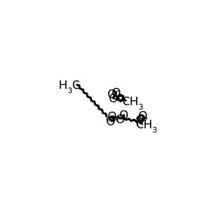 CCCCCCCCCCCCCCCCC[C@H]1OC[C@H](COC(=O)CCCCC[N+]2(C)CCOCC2)O1.Cc1ccc(S(=O)(=O)[O-])cc1